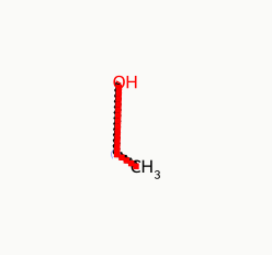 CCCCCCCC/C=C\CCCCCCCCCCCCCCCCCCCCCCCCO